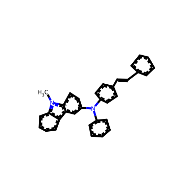 Cn1c2ccccc2c2cc(N(c3ccccc3)c3ccc(/C=C/c4ccccc4)cc3)ccc21